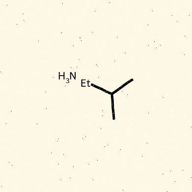 CCC(C)C.N